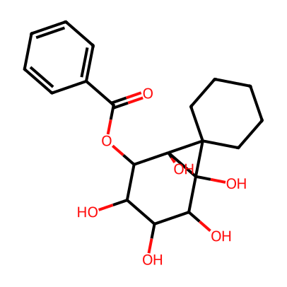 O=C(OC1C(O)C(O)C(O)C2(O)C3(CCCCC3)C12O)c1ccccc1